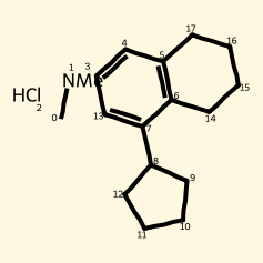 CNC.Cl.c1cc2c(c(C3CCCC3)c1)CCCC2